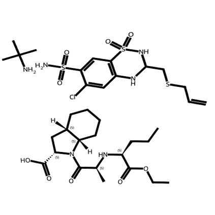 C=CCSCC1Nc2cc(Cl)c(S(N)(=O)=O)cc2S(=O)(=O)N1.CC(C)(C)N.CCC[C@H](N[C@@H](C)C(=O)N1[C@H](C(=O)O)C[C@@H]2CCCC[C@@H]21)C(=O)OCC